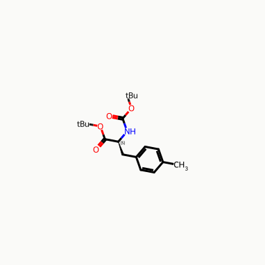 Cc1ccc(C[C@H](NC(=O)OC(C)(C)C)C(=O)OC(C)(C)C)cc1